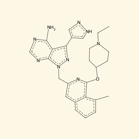 CCN1CCC(Oc2nc(Cn3nc(-c4cn[nH]c4)c4c(N)ncnc43)cc3cccc(C)c23)CC1